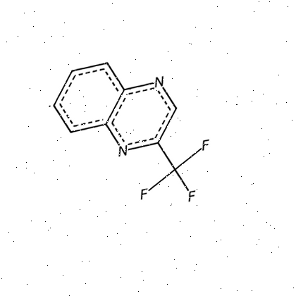 FC(F)(F)c1cnc2cc[c]cc2n1